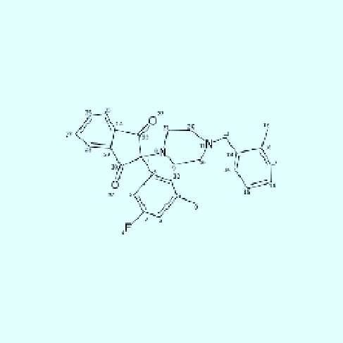 Cc1cc(F)cc(C2(N3CCN(Cc4ccccc4C)CC3)C(=O)c3ccccc3C2=O)c1